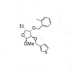 CC[C@H]1O[C@H](OC)[C@H](OCc2ccsc2)[C@H]1OCc1ccccc1C